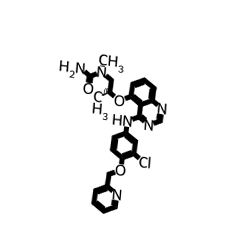 C[C@H](CN(C)C(N)=O)Oc1cccc2ncnc(Nc3ccc(OCc4ccccn4)c(Cl)c3)c12